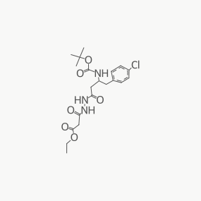 CCOC(=O)CC(=O)NNC(=O)CC(Cc1ccc(Cl)cc1)NC(=O)OC(C)(C)C